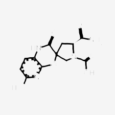 Cc1ccc2c(n1)OC1(C[C@@H](C(N)=O)N(C(=O)O)C1)C(=O)N2